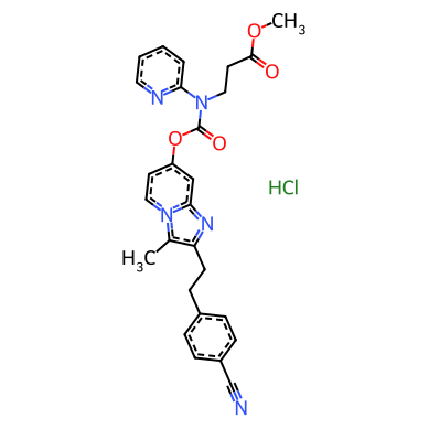 COC(=O)CCN(C(=O)Oc1ccn2c(C)c(CCc3ccc(C#N)cc3)nc2c1)c1ccccn1.Cl